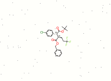 CC(C)(C)OC(=O)[C@@H](c1ccc(Cl)cc1)[C@@H](CCC(F)(F)F)C(=O)OCc1ccccc1